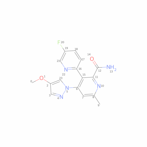 COc1cnn(-c2cc(C)nc(C(N)=O)c2-c2ccc(F)cn2)c1